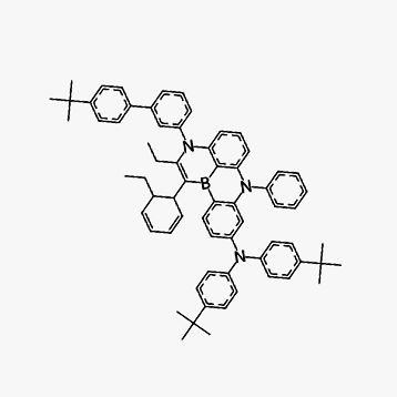 CCC1=C(C2C=CC=CC2CC)B2c3ccc(N(c4ccc(C(C)(C)C)cc4)c4ccc(C(C)(C)C)cc4)cc3N(c3ccccc3)c3cccc(c32)N1c1cccc(-c2ccc(C(C)(C)C)cc2)c1